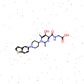 CC1=C(O)C(C(=O)NCC(=O)O)=NC(C)N1C1CCN(c2ccc3sccc3c2)CC1